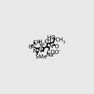 CSc1nc([S+](C)[O-])c2sc(C3=C(C(=O)[O-])N4C(=O)[C@H]([C@@H](C)O)[C@H]4[C@H]3C)cn12.[Na+]